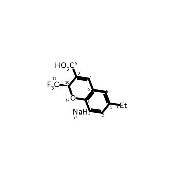 CCc1ccc2c(c1)C=C(C(=O)O)[C@H](C(F)(F)F)O2.[NaH]